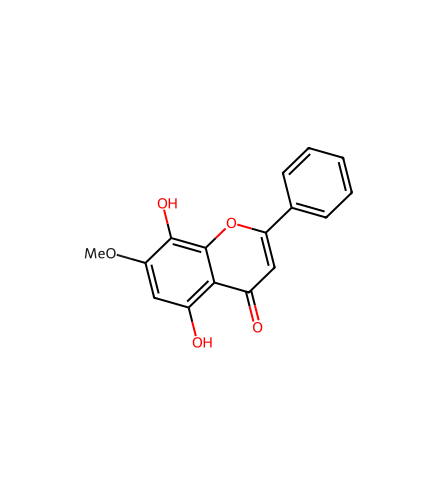 COc1cc(O)c2c(=O)cc(-c3ccccc3)oc2c1O